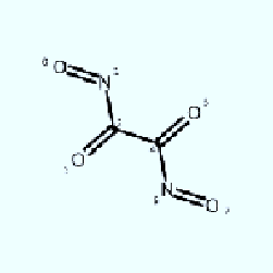 O=NC(=O)C(=O)N=O